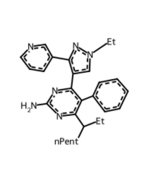 CCCCCC(CC)c1nc(N)nc(-c2cn(CC)nc2-c2cccnc2)c1-c1ccccc1